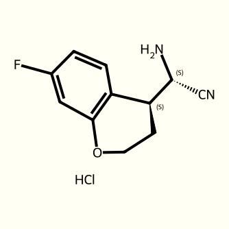 Cl.N#C[C@@H](N)[C@H]1CCOc2cc(F)ccc21